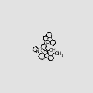 CCC1=C2C(=CCC1)C1=C(/C2=C(/C)C2=CC(c3ccc4c5c3[C@@H]3CC=CC=C3C5CC=C4)=C[C@@H](C3=CCCC=N3)C2)[C@H](C)CCC=C1